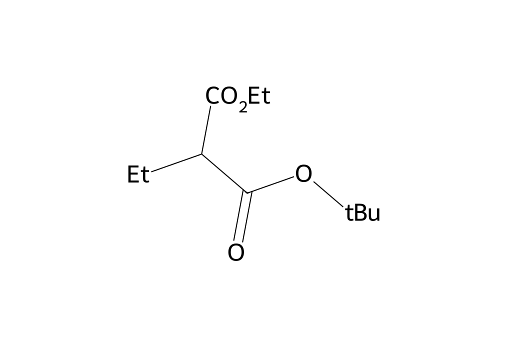 CCOC(=O)C(CC)C(=O)OC(C)(C)C